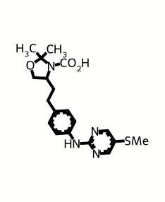 CSc1cnc(Nc2ccc(CCC3COC(C)(C)N3C(=O)O)cc2)nc1